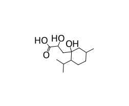 CC1CCC(C(C)C)C(O)(CC(O)C(=O)O)C1